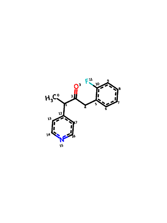 CC(C(=O)Cc1ccccc1F)c1ccncc1